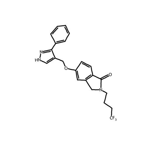 O=C1c2ccc(OCc3c[nH]nc3-c3ccccc3)cc2CN1CCCC(F)(F)F